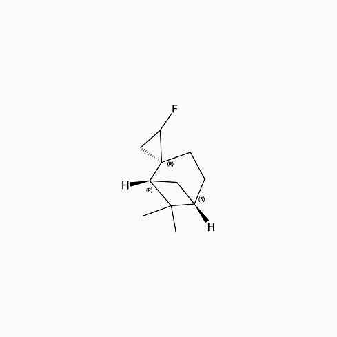 CC1(C)[C@H]2CC[C@@]3(CC3F)[C@@H]1C2